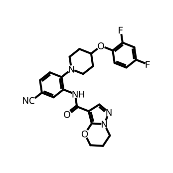 N#Cc1ccc(N2CCC(Oc3ccc(F)cc3F)CC2)c(NC(=O)c2cnn3c2OCCC3)c1